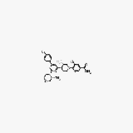 C[C@@H]1CN(c2ncc(C(N)=O)cc2Cl)CCN1c1cc(-c2ccc(Cl)cc2)nc(N2CCOC[C@H]2C)n1